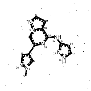 Cn1cc(-c2cn3nccc3c(Nc3cc[nH]n3)n2)cn1